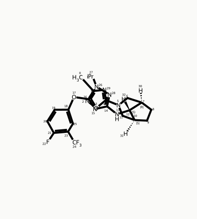 Cc1noc(N2C[C@H]3CC[C@@H](C2)[C@@H]3Nc2nc(Oc3ccc(F)c(C(F)(F)F)c3)n(C(C)C)n2)n1